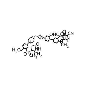 C=Cc1ccc(N2CCN(CC3CN(c4ccc(-c5ccc(N(C)c6cnc(C#N)c(Cl)c6)c(C(C)(C)C=O)c5)cc4)C3)CC2)cc1C(=O)N(C)C1CCC(=O)NC1=C